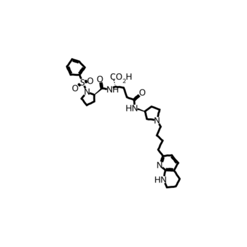 O=C(CC[C@H](NC(=O)[C@H]1CCCN1S(=O)(=O)c1ccccc1)C(=O)O)N[C@H]1CCN(CCCCc2ccc3c(n2)NCCC3)C1